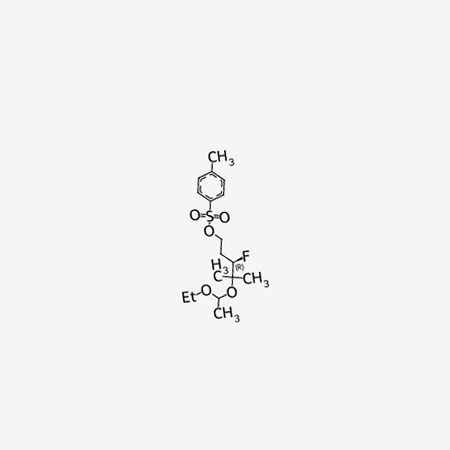 CCOC(C)OC(C)(C)[C@H](F)CCOS(=O)(=O)c1ccc(C)cc1